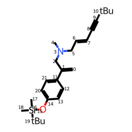 C=C(CN(C)CC=CC#CC(C)(C)C)c1ccc(O[Si](C)(C)C(C)(C)C)cc1